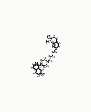 O=C1CCc2ccc(OCCCCN3CCN(c4nccc5ccc(F)cc45)CC3)nc2N1